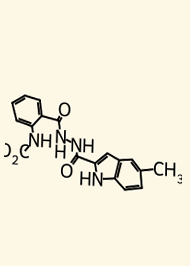 Cc1ccc2[nH]c(C(=O)NNC(=O)c3ccccc3NC(=O)O)cc2c1